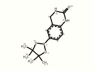 CC1(C)OB(c2ccc3c(c2)CNC(=O)N3)OC1(C)C